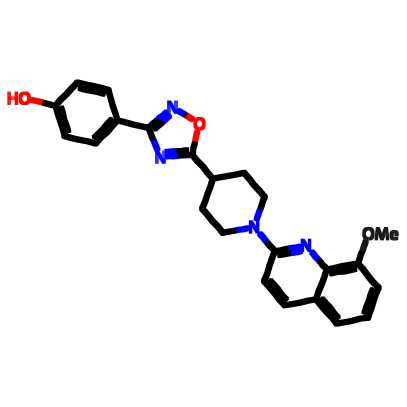 COc1cccc2ccc(N3CCC(c4nc(-c5ccc(O)cc5)no4)CC3)nc12